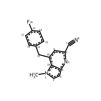 Cn1ccc2nc(C#N)cc(Cc3ccc(F)cc3)c21